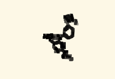 CSc1ncc(CO)c(Nc2cccc(N)c2)n1